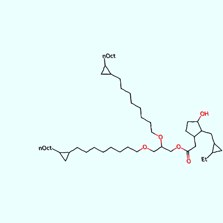 CCCCCCCCC1CC1CCCCCCCCOCC(COC(=O)CC1CCC(O)C1CC1CC1CC)OCCCCCCCCC1CC1CCCCCCCC